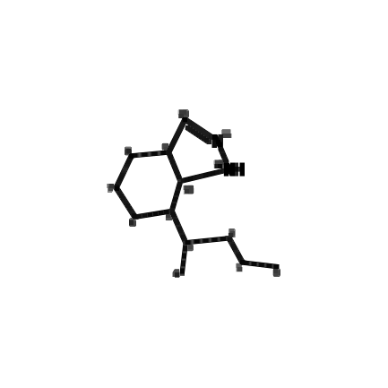 CCCC(C)C1CCCC2C=NNC21